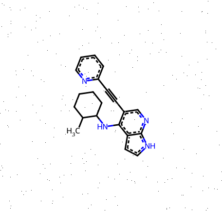 CC1CCCCC1Nc1c(C#Cc2ccccn2)cnc2[nH]ccc12